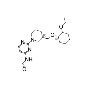 CCOC1CCCC[C@@H]1OC[C@@H]1CCCN(c2nccc(NC=O)n2)C1